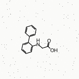 O=C(O)CNc1ccccc1-c1ccccc1